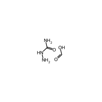 NNC(N)=O.O=CO